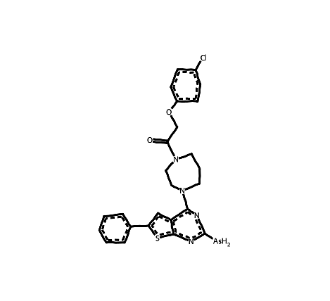 O=C(COc1ccc(Cl)cc1)N1CCCN(c2nc([AsH2])nc3sc(-c4ccccc4)cc23)CC1